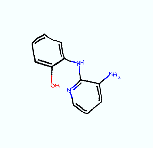 Nc1cccnc1Nc1ccccc1O